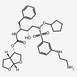 NCCNc1cccc(S(=O)(=O)N(C[C@H](O)[C@H](Cc2ccccc2)NC(=O)O[C@@H]2CO[C@@H]3OCC[C@@H]32)OC2CCCC2)c1